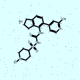 CCN1CCC(S(=O)(=O)NC(=O)Nc2c(-c3ccnc(C#N)c3)ccc3c2CCC3)CC1.[KH]